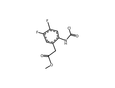 COC(=O)Cc1cc(F)c(F)cc1NC(=O)Cl